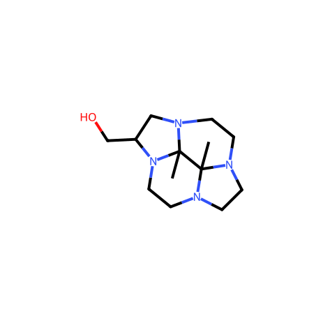 CC12N3CCN1CCN1C(CO)CN(CC3)C12C